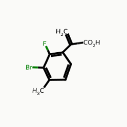 C=C(C(=O)O)c1ccc(C)c(Br)c1F